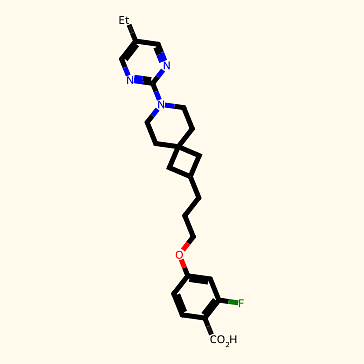 CCc1cnc(N2CCC3(CC2)CC(CCCOc2ccc(C(=O)O)c(F)c2)C3)nc1